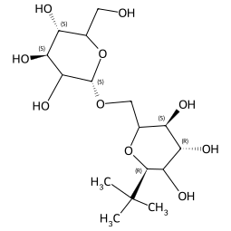 CC(C)(C)[C@H]1OC(CO[C@H]2OC(CO)[C@@H](O)[C@H](O)C2O)[C@@H](O)[C@H](O)C1O